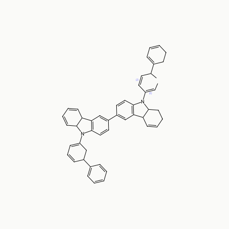 C/C=C(\C=C/C(C)C1=CC=CCC1)N1c2ccc(-c3ccc4c(c3)C3C=CC=CC3N4C3=CC=CC(c4ccccc4)C3)cc2C2C=CCCC21